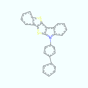 c1ccc(-c2ccc(-n3c4ccccc4c4c5sc6ccccc6c5sc43)cc2)cc1